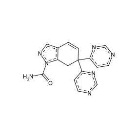 NC(=O)n1n[c]c2c1CC(c1ccncn1)(c1ccncn1)C=C2